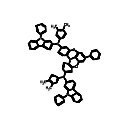 Cc1ccc(N(c2ccc3c(c2)Oc2cc(-c4ccccc4)cc4c2B3c2ccc(N(c3ccc(C)c(C)c3)c3ccc5c6ccccc6n(-c6ccccc6)c5c3)cc2O4)c2ccc3c4ccccc4n(-c4ccccc4)c3c2)cc1C